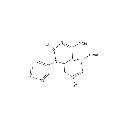 CNc1nc(=O)n(-c2cccnc2)c2cc(Cl)cc(OC)c12